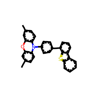 Cc1ccc2c(c1)Oc1cc(C)ccc1N2c1ccc(-c2cccc3c2sc2ccccc23)cc1